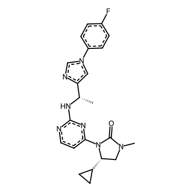 C[C@H](Nc1nccc(N2C(=O)N(C)C[C@@H]2C2CC2)n1)c1cn(-c2ccc(F)cc2)cn1